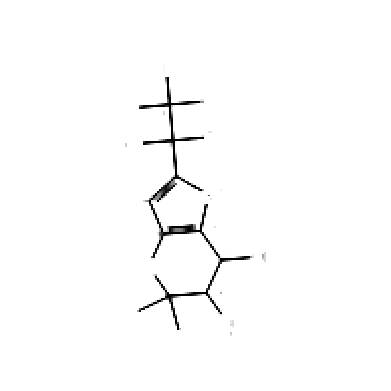 CC1(C)Oc2cc(C(F)(F)C(F)(F)F)sc2C(O)C1Br